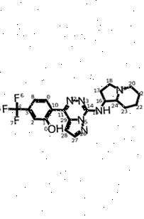 Oc1cc(C(F)(F)F)ccc1-c1nnc(NC2CCN3CCCCC23)n2nccc12